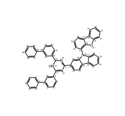 c1ccc(-c2cccc(C3=NC(c4ccc5c6ccccc6n(-c6cccc7c6oc6ccccc67)c5c4)=NC(c4cccc(-c5ccccc5)c4)N3)c2)cc1